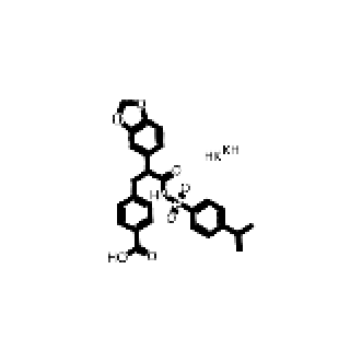 CC(C)c1ccc(S(=O)(=O)NC(=O)C(Cc2ccc(C(=O)O)cc2)c2ccc3c(c2)OCO3)cc1.[KH].[KH]